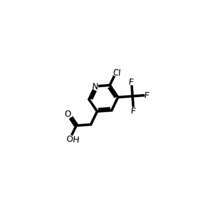 O=C(O)Cc1cnc(Cl)c(C(F)(F)F)c1